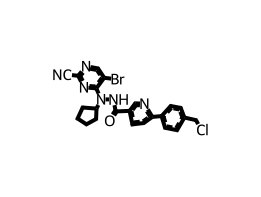 N#Cc1ncc(Br)c(N(NC(=O)c2ccc(-c3ccc(CCl)cc3)nc2)C2CCCC2)n1